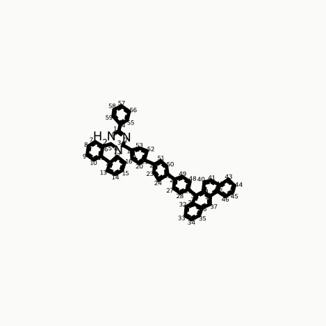 N/C(=N\C(=N/Cc1ccccc1-c1ccccc1)c1ccc(-c2ccc(-c3ccc(-c4c5ccccc5cc5c4ccc4ccccc45)cc3)cc2)cc1)c1ccccc1